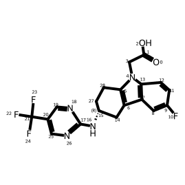 O=C(O)Cn1c2c(c3cc(F)ccc31)C[C@H](Nc1ncc(C(F)(F)F)cn1)CC2